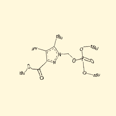 CC(C)c1c(C(=O)OC(C)(C)C)nn(COP(=O)(OC(C)(C)C)OC(C)(C)C)c1C(C)(C)C